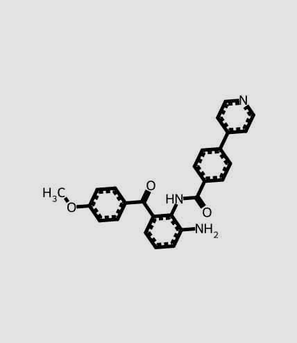 COc1ccc(C(=O)c2cccc(N)c2NC(=O)c2ccc(-c3ccncc3)cc2)cc1